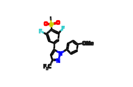 COc1ccc(-n2nc(C(F)(F)F)cc2-c2cc(F)c(S(C)(=O)=O)c(F)c2)cc1